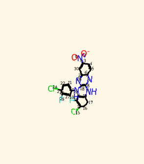 O=[N+]([O-])c1ccc2nc(NC3=CC(F)=C(Cl)CC3)c(NC3=C=C=C(Cl)C(F)=C3)nc2c1